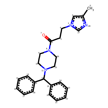 Cc1cn(CCC(=O)N2CCN(C(c3ccccc3)c3ccccc3)CC2)cn1